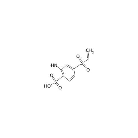 C=CS(=O)(=O)c1ccc(S(=O)(=O)O)c([NH])c1